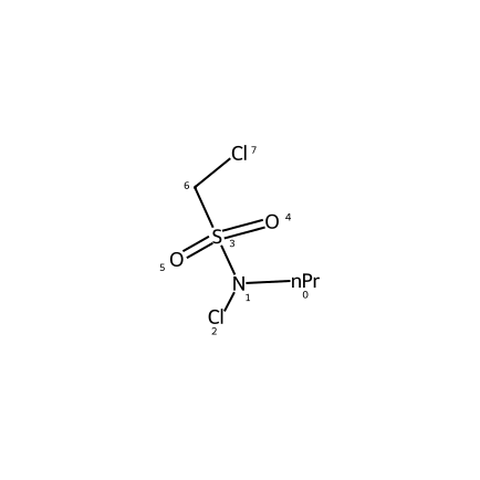 CCCN(Cl)S(=O)(=O)CCl